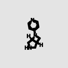 c1cc(N2C[C@H]3CNC[C@H]32)ccn1